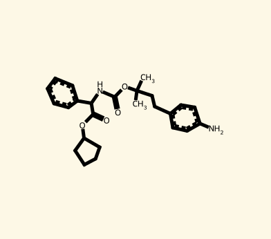 CC(C)(CCc1ccc(N)cc1)OC(=O)NC(C(=O)OC1CCCC1)c1ccccc1